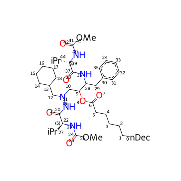 CCCCCCCCCCCCCCCC(=O)OC(CN(CC1CCCCC1)NC(=O)[C@@H](NC(=O)OC)C(C)C)C(Cc1ccccc1)NC(=O)[C@@H](NC(=O)OC)C(C)C